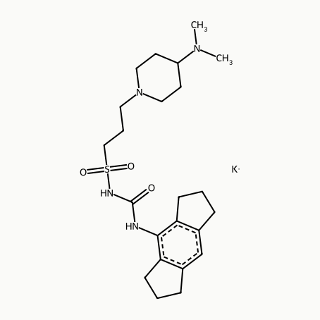 CN(C)C1CCN(CCCS(=O)(=O)NC(=O)Nc2c3c(cc4c2CCC4)CCC3)CC1.[K]